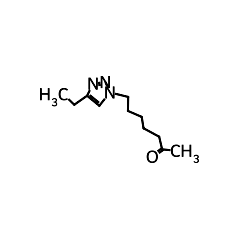 CCc1cn(CCCCCC(C)=O)nn1